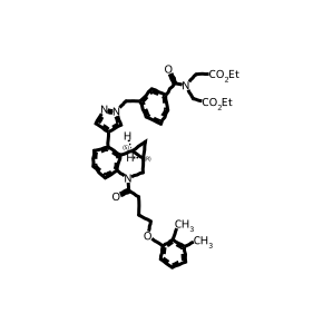 CCOC(=O)CN(CC(=O)OCC)C(=O)c1cccc(Cn2cc(-c3cccc4c3[C@H]3C[C@H]3CN4C(=O)CCCOc3cccc(C)c3C)cn2)c1